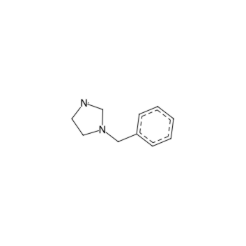 c1ccc(CN2CC[N]C2)cc1